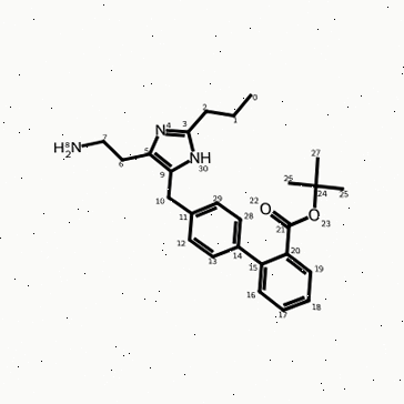 CCCc1nc(CCN)c(Cc2ccc(-c3ccccc3C(=O)OC(C)(C)C)cc2)[nH]1